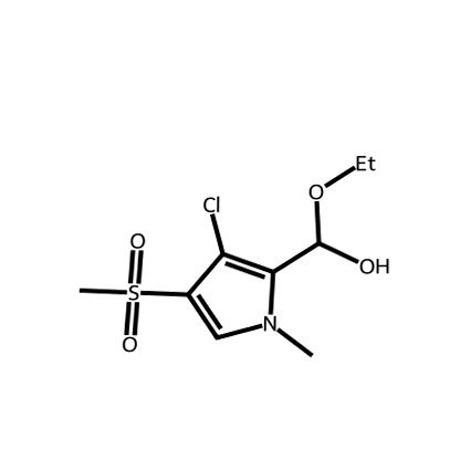 CCOC(O)c1c(Cl)c(S(C)(=O)=O)cn1C